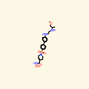 COCC(C)NCCNc1ccc(-c2ccc(S(=O)(=O)N3CC=C(C(=O)NO)CC3)cc2)cc1